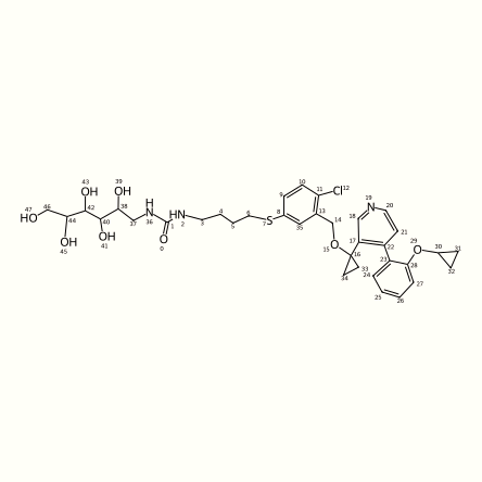 O=C(NCCCCSc1ccc(Cl)c(COC2(c3cnccc3-c3ccccc3OC3CC3)CC2)c1)NCC(O)C(O)C(O)C(O)CO